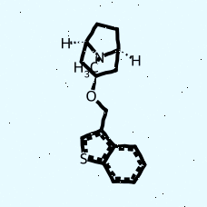 CN1[C@@H]2CC[C@H]1C[C@@H](OCc1csc3ccccc13)C2